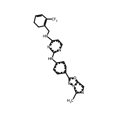 Cc1ncc2oc(-c3ccc(Nc4nccc(NCC5=C(C(F)(F)F)C=CCC5)n4)cc3)nn12